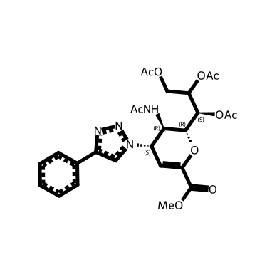 COC(=O)C1=C[C@H](n2cc(-c3ccccc3)nn2)[C@@H](NC(C)=O)[C@H]([C@H](OC(C)=O)C(COC(C)=O)OC(C)=O)O1